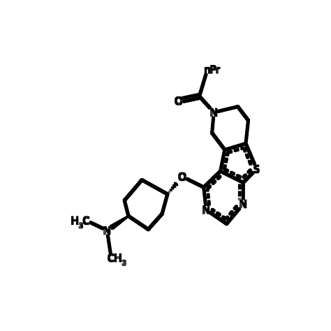 CCCC(=O)N1CCc2sc3ncnc(O[C@H]4CC[C@H](N(C)C)CC4)c3c2C1